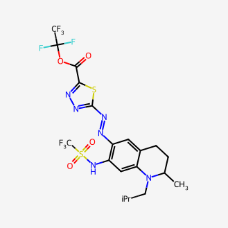 CC(C)CN1c2cc(NS(=O)(=O)C(F)(F)F)c(N=Nc3nnc(C(=O)OC(F)(F)C(F)(F)F)s3)cc2CCC1C